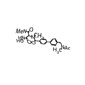 CNC(=O)C(C(=O)NO)N(C)C(=O)c1ccc(-c2ccc(CN(C)C(C)=O)cc2)cc1